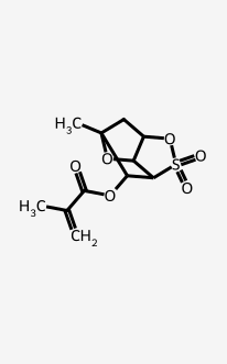 C=C(C)C(=O)OC1C2C3OC1(C)CC3OS2(=O)=O